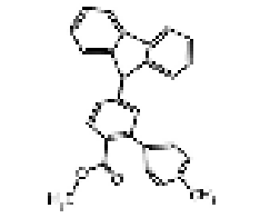 COC(=O)c1ccc(C2c3ccccc3-c3ccccc32)cc1-c1ccc(C)cc1